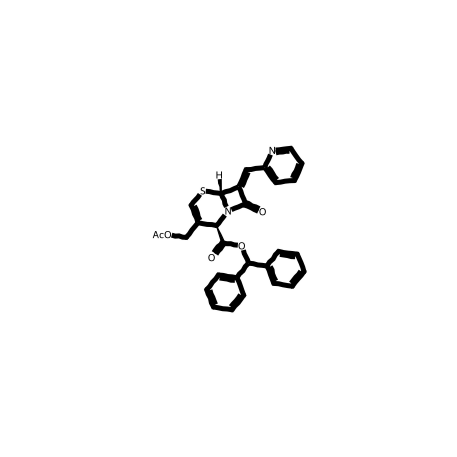 CC(=O)OCC1=CS[C@@H]2C(=Cc3ccccn3)C(=O)N2[C@H]1C(=O)OC(c1ccccc1)c1ccccc1